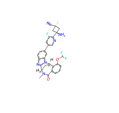 CN1C(=O)c2cccc(OC(F)F)c2[C@H]2C[C@@H]1c1nc3ccc(-c4cnc([C@]5(N)C[C@@](C)(C#N)C5)c(F)c4)cc3n12